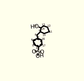 O=S(=O)(O)c1ccc(CC2CCCCC2O)cc1